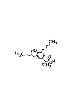 CCCCCc1cc(C(C)C(=O)O)cc(CCCCC)c1O